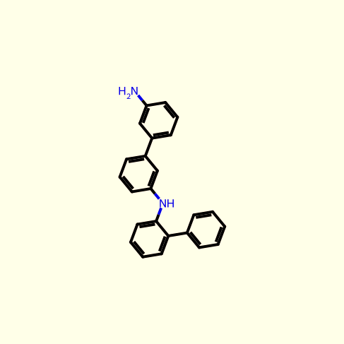 Nc1cccc(-c2cccc(Nc3ccccc3-c3ccccc3)c2)c1